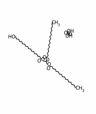 CCCCCCCCCCCCCCCCCC(=O)OCC(COC(=O)CCCCCCCCCCCCCCCCCO)OC(=O)CCCCCCCCCCCCCCCCC.O=S(=O)(O)O